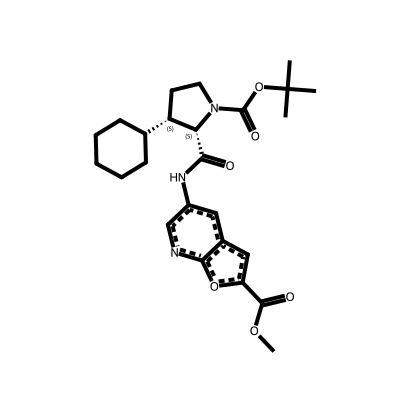 COC(=O)c1cc2cc(NC(=O)[C@@H]3[C@H](C4CCCCC4)CCN3C(=O)OC(C)(C)C)cnc2o1